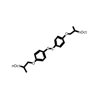 CCCCCCCCC(C)COc1ccc(SSc2ccc(OCC(C)CCCCCCCC)cc2)cc1